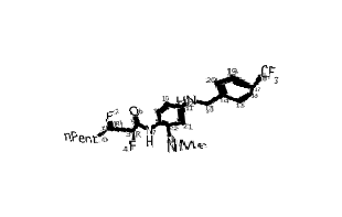 CCCCC[C@@H](F)[C@H](F)C(=O)Nc1ccc(NCc2ccc(C(F)(F)F)cc2)cc1NC